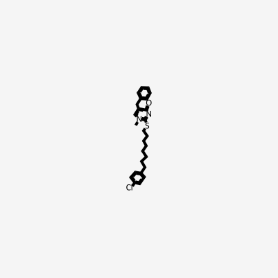 Cn1cc(Cc2ccccc2)c(=O)nc1SCCCCCCCCc1ccc(Cl)cc1